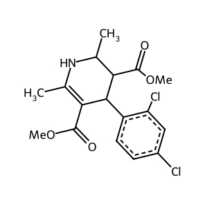 COC(=O)C1=C(C)NC(C)C(C(=O)OC)C1c1ccc(Cl)cc1Cl